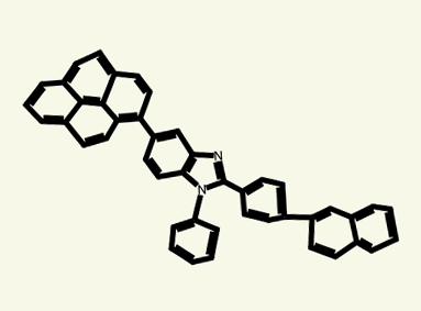 c1ccc(-n2c(-c3ccc(-c4ccc5ccccc5c4)cc3)nc3cc(-c4ccc5ccc6cccc7ccc4c5c67)ccc32)cc1